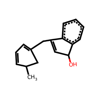 CC1C=CC=C(CC2=CC(O)c3ccccc32)C1